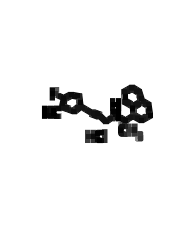 C[C@@H](NCC#Cc1ccc(F)c(C#N)c1)c1cccc2ccccc12.Cl